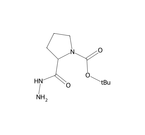 CC(C)(C)OC(=O)N1CCCC1C(=O)NN